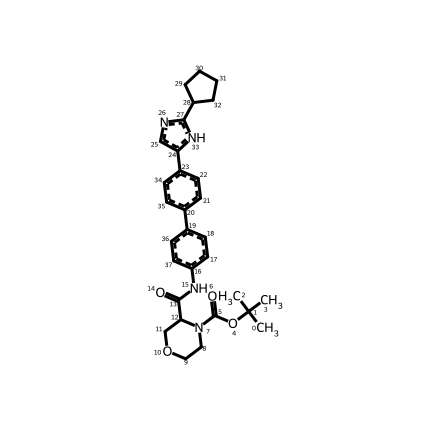 CC(C)(C)OC(=O)N1CCOCC1C(=O)Nc1ccc(-c2ccc(-c3cnc(C4CCCC4)[nH]3)cc2)cc1